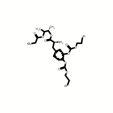 CC(C)CCOC(=O)Oc1ccc(C[C@H](N)C(=O)O[C@@H](C)C(C)OC(=O)CC(C)(C)C)cc1OC(=O)OCCC(C)C